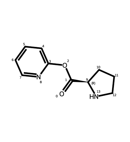 O=C(Oc1ccccn1)[C@H]1CCCN1